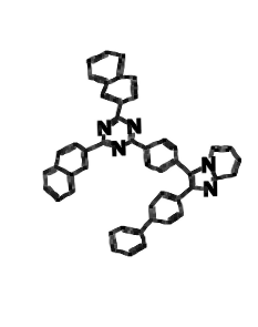 c1ccc(-c2ccc(-c3nc4ccccn4c3-c3ccc(-c4nc(-c5ccc6ccccc6c5)nc(-c5ccc6ccccc6c5)n4)cc3)cc2)cc1